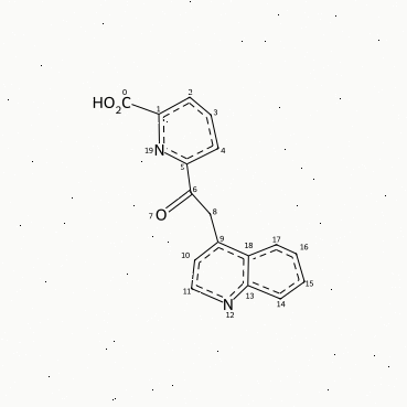 O=C(O)c1cccc(C(=O)Cc2ccnc3ccccc23)n1